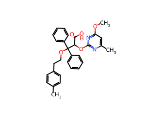 COc1cc(C)nc(OC(C(=O)O)C(OCCc2ccc(C)cc2)(c2ccccc2)c2ccccc2)n1